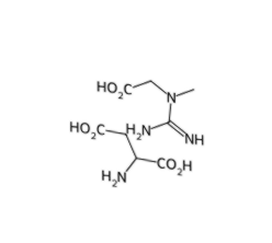 CN(CC(=O)O)C(=N)N.NC(CC(=O)O)C(=O)O